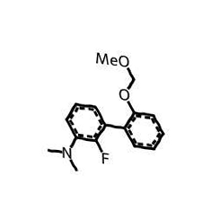 COCOc1ccccc1-c1cccc(N(C)C)c1F